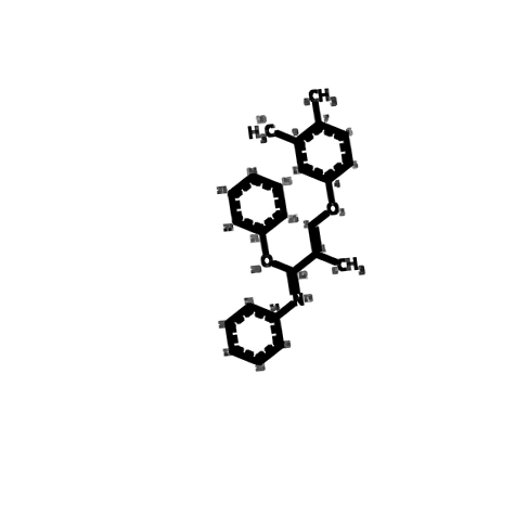 CC(=C\Oc1ccc(C)c(C)c1)/C(=N/c1ccccc1)Oc1ccccc1